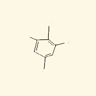 CC(=O)Oc1c(Cl)cc(Cl)cc1I